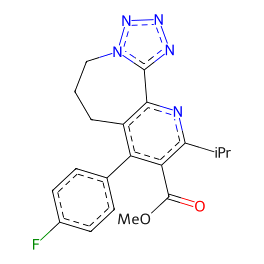 COC(=O)c1c(C(C)C)nc2c(c1-c1ccc(F)cc1)CCCn1nnnc1-2